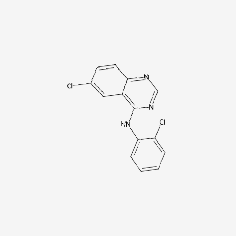 Clc1ccc2ncnc(Nc3ccccc3Cl)c2c1